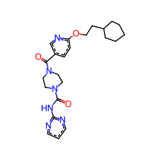 O=C(Nc1ncccn1)N1CCN(C(=O)c2ccc(OCCC3CCCCC3)nc2)CC1